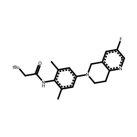 Cc1cc(N2CCc3ncc(F)cc3C2)cc(C)c1NC(=O)CC(C)(C)C